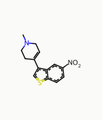 CN1CC=C(c2csc3ccc([N+](=O)[O-])cc23)CC1